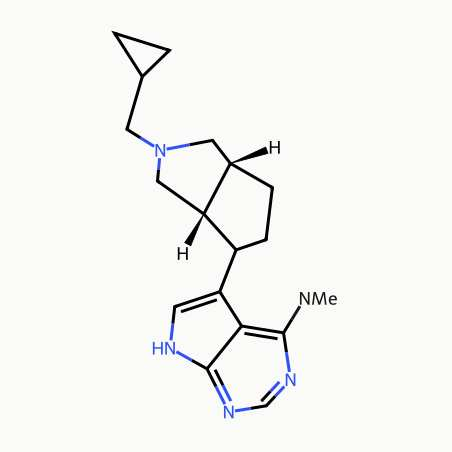 CNc1ncnc2[nH]cc(C3CC[C@H]4CN(CC5CC5)C[C@@H]34)c12